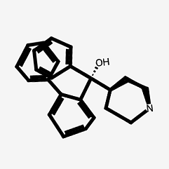 O[C@@](c1ccccc1)(c1ccccc1-c1ccccc1)C12CCN(CC1)CC2